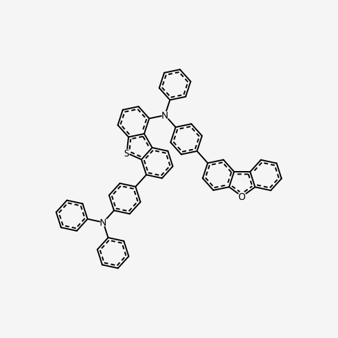 c1ccc(N(c2ccccc2)c2ccc(-c3cccc4c3sc3cccc(N(c5ccccc5)c5ccc(-c6ccc7oc8ccccc8c7c6)cc5)c34)cc2)cc1